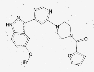 CC(C)Oc1ccc2[nH]nc(-c3cc(N4CCN(C(=O)c5ccco5)CC4)ncn3)c2c1